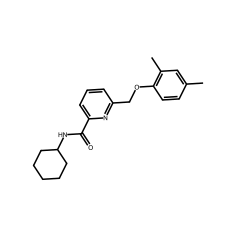 Cc1ccc(OCc2cccc(C(=O)NC3CCCCC3)n2)c(C)c1